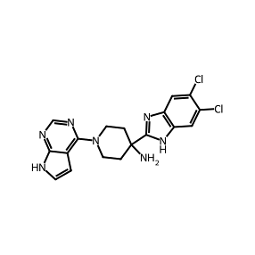 NC1(c2nc3cc(Cl)c(Cl)cc3[nH]2)CCN(c2ncnc3[nH]ccc23)CC1